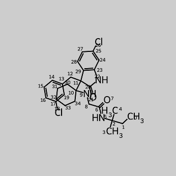 CCC(C)(C)NC(=O)CNC1(C2(Cc3cccc(Cl)c3)C(=O)Nc3cc(Cl)ccc32)CCCCC1